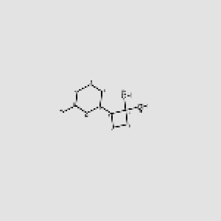 CC1CCCC(C2CCC2(O)O)C1